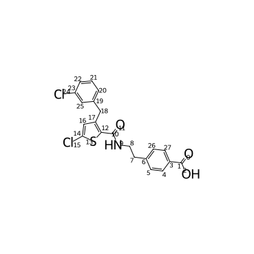 O=C(O)c1ccc(CCNC(=O)c2sc(Cl)cc2Cc2cccc(Cl)c2)cc1